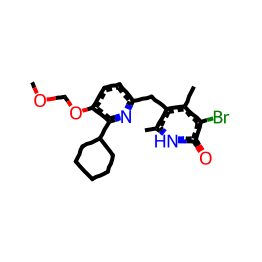 COCOc1ccc(Cc2c(C)[nH]c(=O)c(Br)c2C)nc1C1CCCCC1